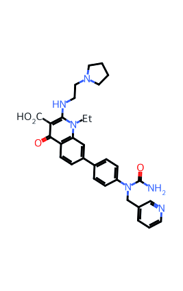 CCn1c(NCCN2CCCC2)c(C(=O)O)c(=O)c2ccc(-c3ccc(N(Cc4cccnc4)C(N)=O)cc3)cc21